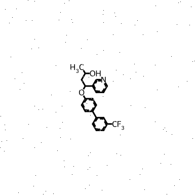 CC(O)CC(Oc1ccc(-c2cccc(C(F)(F)F)c2)cc1)c1cccnc1